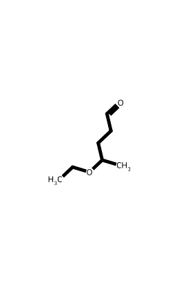 CCOC(C)CCC=O